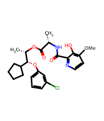 COc1ccnc(C(=O)N[C@@H](C)C(=O)O[C@@H](C)[C@H](Oc2cccc(Cl)c2)C2CCCC2)c1O